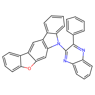 c1ccc(-c2nc3ccccc3nc2-n2c3ccccc3c3cc4c(cc32)oc2ccccc24)cc1